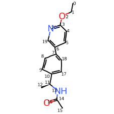 CCOc1ccc(-c2ccc([C@H](C)NC(C)=O)cc2)cn1